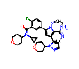 C=Nn1c(-c2ccc(F)c(C(=O)N(C3CCOCC3)C3CC3)c2)cc(-c2ccnn2C2CCOCC2)c1/C(N)=N\C